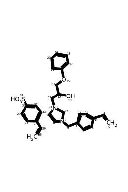 C=Cc1ccc(CN2C=CN(CC(O)COc3ccccc3)C2)cc1.C=Cc1ccc(S(=O)(=O)O)cc1